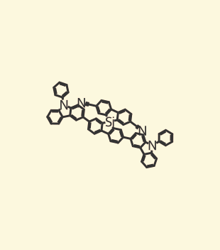 N#Cc1ccc2c(c1)[Si]1(c3cc(C#N)ccc3-2)c2cc(-c3ccc4c(c3)c3ccccc3n4-c3ccccc3)ccc2-c2ccc(-c3ccc4c(c3)c3ccccc3n4-c3ccccc3)cc21